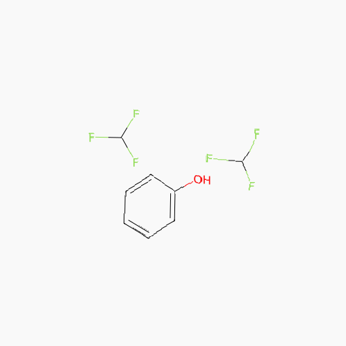 FC(F)F.FC(F)F.Oc1ccccc1